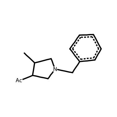 CC(=O)C1CN(Cc2ccccc2)CC1C